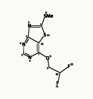 CSc1nc2ncnc(OCC(F)F)c2s1